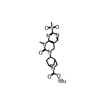 CN1C(=O)N(C2CC3CC2CN3C(=O)OC(C)(C)C)Cc2cnc(S(C)(=O)=O)nc21